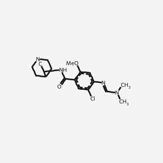 COc1cc(/N=C/N(C)C)c(Cl)cc1C(=O)NC1CN2CCC1CC2